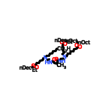 CCCCCCCCCCC(CC)OC(=O)CCCCCN(CCCCCCCC(=O)O)CCNC(=O)CC(C)C(=O)NCCN(CCCCCCCC(=O)OC(CCCCCCCC)CCCCCCCC)CCCCCC(=O)OC(CC)CCCCCCCCCC